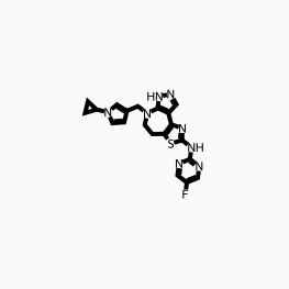 Fc1cnc(Nc2nc3c(s2)CCN(Cc2ccn(C4CC4)c2)c2[nH]ncc2-3)nc1